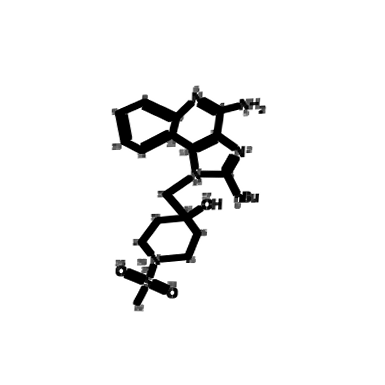 CCCCc1nc2c(N)nc3ccccc3c2n1CC1(O)CCN(S(C)(=O)=O)CC1